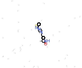 C[C@@H]1CC(=O)Nc2ccc(CCN3CCN(c4nsc5ccccc45)CC3)cc21